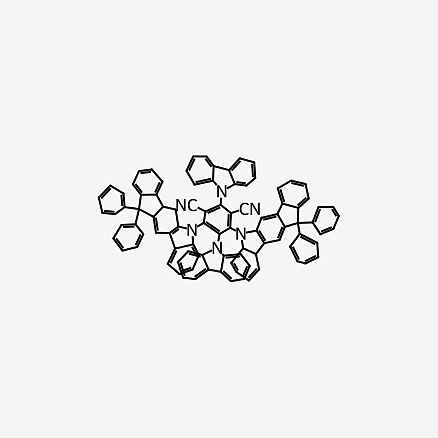 N#Cc1c(N2c3cc4c(cc3C3C=CC=CC32)C(c2ccccc2)(c2ccccc2)c2ccccc2-4)c(-n2c3ccccc3c3ccccc32)c(-n2c3c(c4ccccc42)C=C2C(C3)c3ccccc3C2(c2ccccc2)c2ccccc2)c(C#N)c1-n1c2ccccc2c2ccccc21